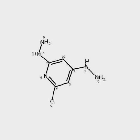 NNc1cc(Cl)nc(NN)c1